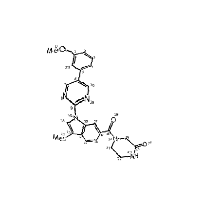 COc1cccc(-c2cnc(-n3cc(SC)c4ccc(C(=O)N5CCNC(=O)C5)cc43)nc2)c1